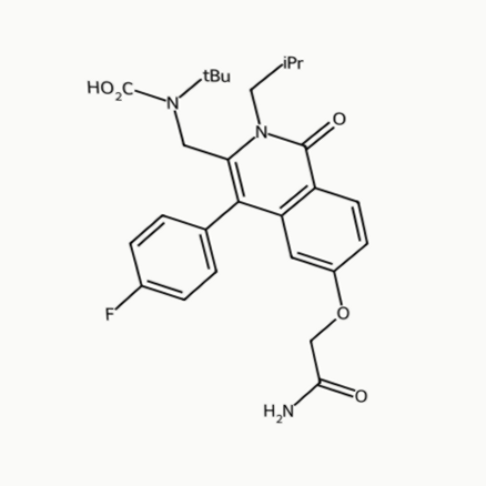 CC(C)Cn1c(CN(C(=O)O)C(C)(C)C)c(-c2ccc(F)cc2)c2cc(OCC(N)=O)ccc2c1=O